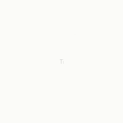 [CH3][Ti]1([CH3])[CH]2C(=Cc3ccccc32)CC2=Cc3ccccc3[CH]21